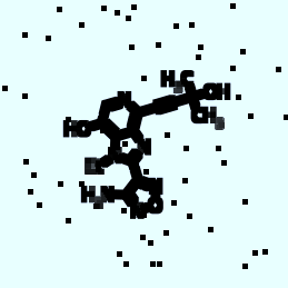 CCn1c(-c2nonc2N)nc2c(C#CC(C)(C)O)ncc(O)c21